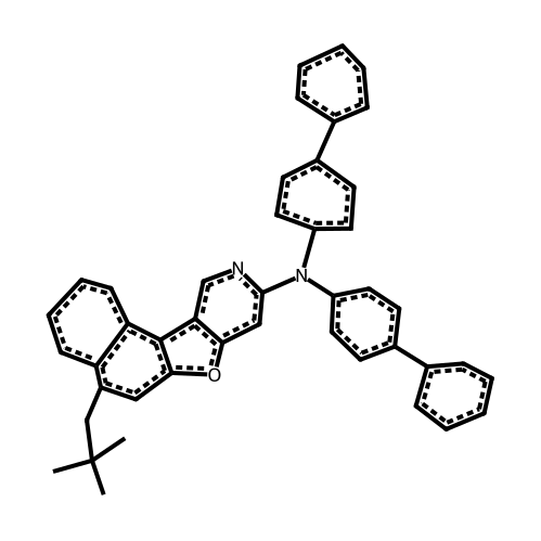 CC(C)(C)Cc1cc2oc3cc(N(c4ccc(-c5ccccc5)cc4)c4ccc(-c5ccccc5)cc4)ncc3c2c2ccccc12